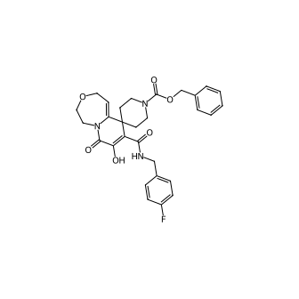 O=C(NCc1ccc(F)cc1)C1=C(O)C(=O)N2CCOCC=C2C12CCN(C(=O)OCc1ccccc1)CC2